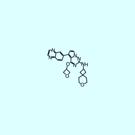 c1cnc2cc(-c3ccn4nc(NC5CC6(CCOCC6)C5)nc(OC5COC5)c34)ccc2n1